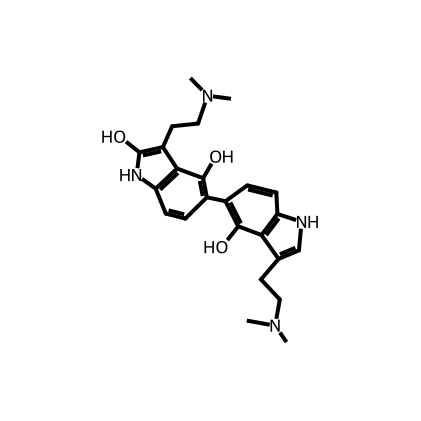 CN(C)CCc1c[nH]c2ccc(-c3ccc4[nH]c(O)c(CCN(C)C)c4c3O)c(O)c12